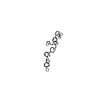 O=S1(=O)CCCN1c1ccc2c(c1)nc(CN1CCC(c3cccc(OCc4ccc(Cl)cc4F)n3)CC1)n2CC1CCO1